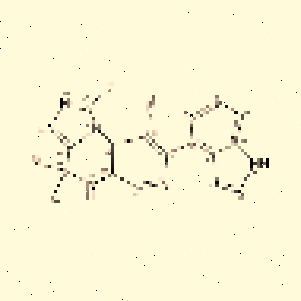 Cc1cc(-c2cccc3[nH]ccc23)c(F)c2c1NC(C)(C)c1nnc(C)n1-2